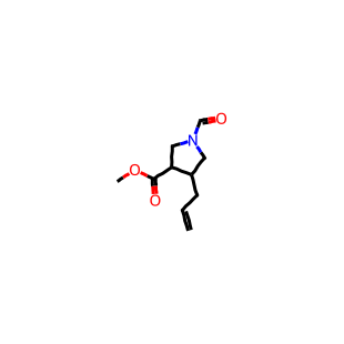 C=CCC1CN(C=O)CC1C(=O)OC